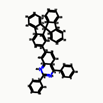 c1ccc(-c2nc(-c3ccccc3)c3ccc(-c4ccc5c(c4)C4(c6ccccc6-c6ccccc64)c4ccccc4-5)cc3n2)cc1